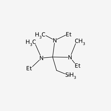 CCN(C)C(C[SiH3])(N(C)CC)N(C)CC